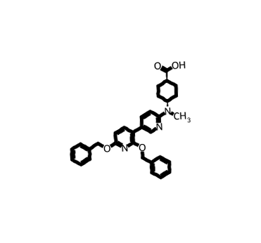 CN(c1ccc(-c2ccc(OCc3ccccc3)nc2OCc2ccccc2)cn1)[C@H]1CC[C@H](C(=O)O)CC1